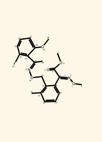 CO/N=C(/C(=O)OC)c1cccc(C)c1CO/N=C(\C)c1c(F)cccc1OC